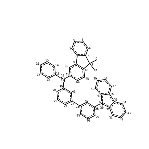 CC1(C)c2ccccc2-c2cc(N(c3ccccc3)c3cccc(-c4cccc(-n5c6ccccc6c6ccccc65)c4)c3)ccc21